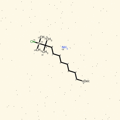 CCCCCCCCCCCCCCCCCCC(C)(C)[Si](C)(C)Cl.N